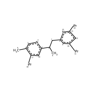 Cc1cnc(C(C)Cc2cc(C(C)C)cc(C(C)C)n2)cc1C(C)C